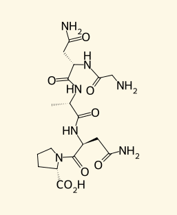 C[C@H](NC(=O)[C@H](CC(N)=O)NC(=O)CN)C(=O)N[C@@H](CC(N)=O)C(=O)N1CCC[C@H]1C(=O)O